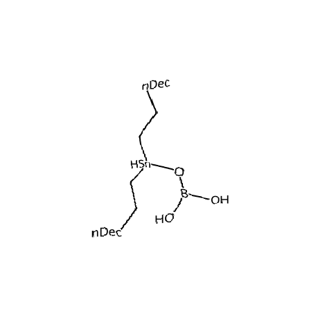 CCCCCCCCCCC[CH2][SnH]([CH2]CCCCCCCCCCC)[O]B(O)O